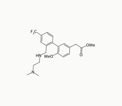 COC(=O)Cc1ccc(OC)c(-c2ccc(C(F)(F)F)cc2CNCCN(C)C)c1